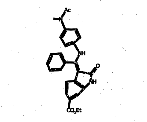 CCOC(=O)c1ccc2c(c1)NC(=O)/C2=C(\Nc1ccc(N(C)C(C)=O)cc1)c1ccccc1